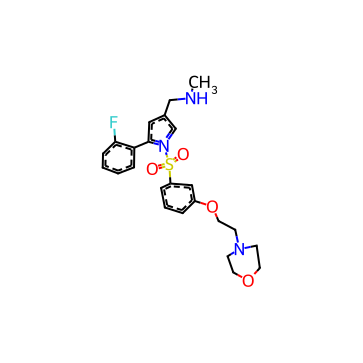 CNCc1cc(-c2ccccc2F)n(S(=O)(=O)c2cccc(OCCN3CCOCC3)c2)c1